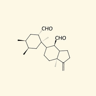 C=C1CCC2[C@H](C=O)C([C@@]3(C)C[C@@H](C)[C@@H](C)C[C@@H]3C=O)CC[C@]12C